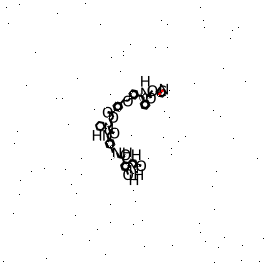 O=C(N[C@@H](c1ccccc1)c1cccc(OCc2ccc(C(=O)OCCN(C(=O)Nc3ccc(CNCC(O)c4ccc(O)c5[nH]c(=O)ccc45)cc3)C3CCCCC3)cc2)c1)OC1CN2CCC1CC2